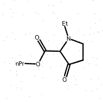 CCCOC(=O)C1C(=O)CCN1CC